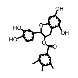 Cc1cc(C(=O)OC2Cc3c(O)cc(O)cc3OC2c2ccc(O)c(O)c2)cc(C)c1C